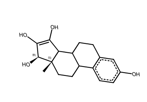 C[C@]12CCC3c4ccc(O)cc4CCC3C1C(O)=C(O)[C@@H]2O